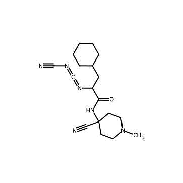 CN1CCC(C#N)(NC(=O)C(CC2CCCCC2)N=C=NC#N)CC1